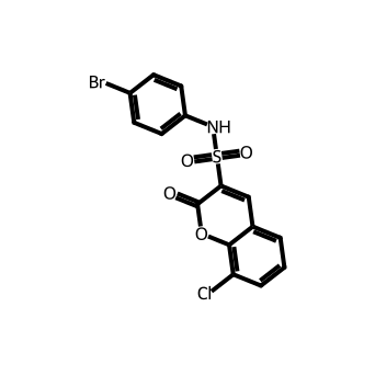 O=c1oc2c(Cl)cccc2cc1S(=O)(=O)Nc1ccc(Br)cc1